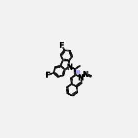 C=NN1C=c2ccccc2=C/C1=C(/C)n1c2ccc(F)cc2c2cc(F)ccc21